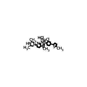 COc1ccc(N2C[C@@H](C)N[C@@H](C)C2)nc1NS(=O)(=O)c1ccc(-c2ccc(C)s2)cc1Cl.Cl